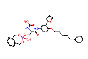 O=C(O)NC(CO[P]1(O)OCc2ccccc2CO1)C(=O)Nc1ccc(OCCCCCc2ccccc2)c(-c2ccco2)c1